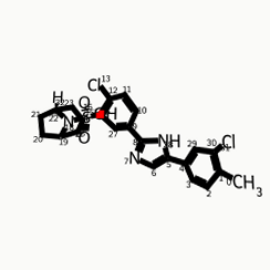 Cc1ccc(-c2cnc(-c3ccc(Cl)c(S(=O)(=O)N4C5CC[C@@H]4C[C@H](O)C5)c3)[nH]2)cc1Cl